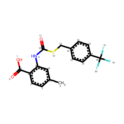 Cc1ccc(C(=O)O)c(NC(=O)SCc2ccc(C(F)(F)F)cc2)c1